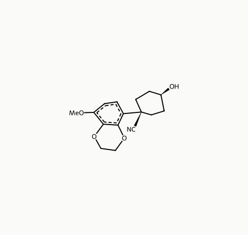 COc1ccc([C@]2(C#N)CC[C@@H](O)CC2)c2c1OCCO2